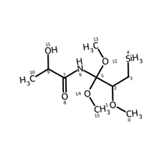 COC(C[SiH3])C(NC(=O)C(C)O)(OC)OC